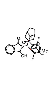 COC(=O)C[C@H](C1CC2CCC(C1)N2C(=O)c1cc(F)c(F)cc1F)N1C(=O)c2ccccc2C1O